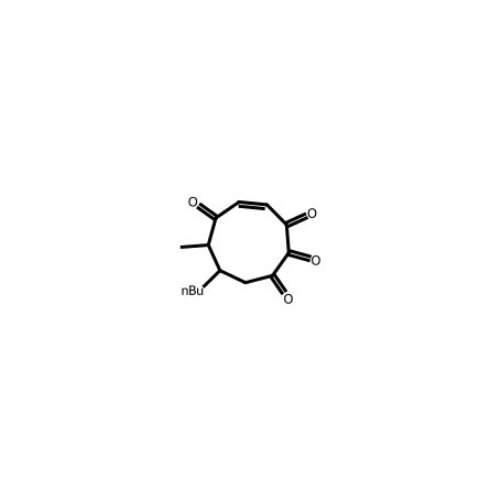 CCCCC1CC(=O)C(=O)C(=O)C=CC(=O)C1C